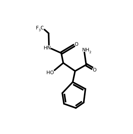 NC(=O)C(c1ccccc1)C(O)C(=O)NCC(F)(F)F